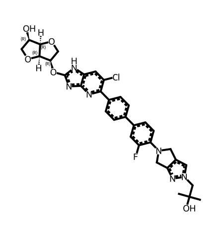 CC(C)(O)Cn1cc2c(n1)CN(c1ccc(-c3ccc(-c4nc5nc(O[C@@H]6CO[C@H]7[C@@H]6OC[C@H]7O)[nH]c5cc4Cl)cc3)cc1F)C2